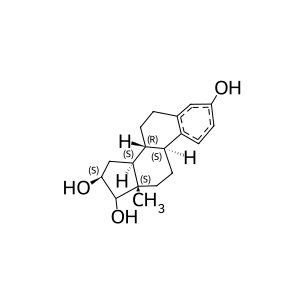 C[C@]12CC[C@@H]3c4ccc(O)cc4CC[C@H]3[C@@H]1C[C@H](O)C2O